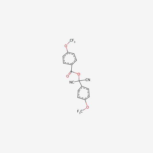 N#CC(C#N)(OC(=O)c1ccc(OC(F)(F)F)cc1)c1ccc(OC(F)(F)F)cc1